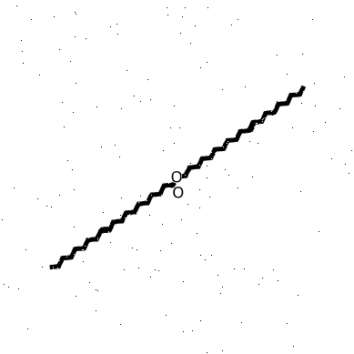 CCCCCCCCC=CCCCCCCCCCCOC(=O)CCCCCCCCCC=CCCCCCCCC